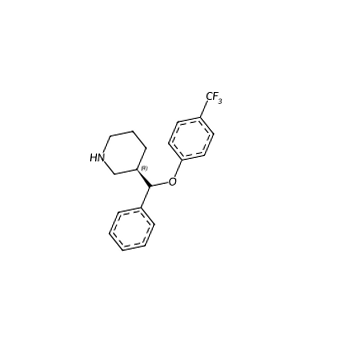 FC(F)(F)c1ccc(OC(c2ccccc2)[C@@H]2CCCNC2)cc1